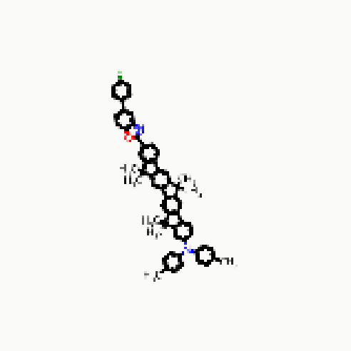 Cc1ccc(N(c2ccc(C)cc2)c2ccc3c(c2)C(C)(C)c2cc4c(cc2-3)C(C)(C)c2cc3c(cc2-4)C(C)(C)c2cc(-c4nc5cc(-c6ccc(F)cc6)ccc5o4)ccc2-3)cc1